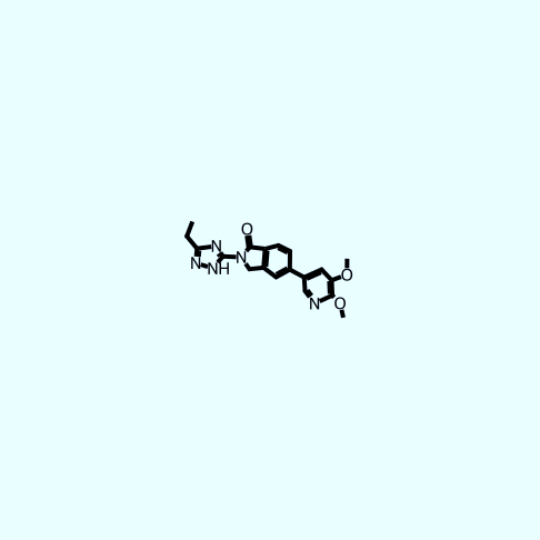 CCc1n[nH]c(N2Cc3cc(-c4cnc(OC)c(OC)c4)ccc3C2=O)n1